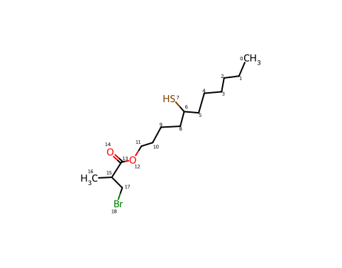 CCCCCCC(S)CCCCOC(=O)C(C)CBr